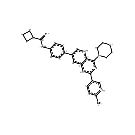 Nc1ncc(-c2nc(N3CCOCC3)c3ncc(-c4ccc(NC(=O)C5CCC5)cc4)cc3n2)cn1